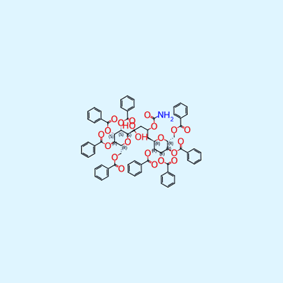 NC(=O)OC(C[C@H]1O[C@H](COC(=O)c2ccccc2)[C@@H](OC(=O)c2ccccc2)[C@H](OC(=O)c2ccccc2)[C@@H]1OC(=O)c1ccccc1)CC(O)(O)[C@H]1O[C@H](COC(=O)c2ccccc2)[C@@H](OC(=O)c2ccccc2)[C@H](OC(=O)c2ccccc2)[C@@H]1OC(=O)c1ccccc1